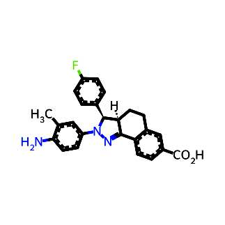 Cc1cc(N2N=C3c4ccc(C(=O)O)cc4CC[C@@H]3[C@@H]2c2ccc(F)cc2)ccc1N